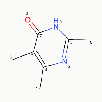 Cc1nc(C)c(C)c(=O)[nH]1